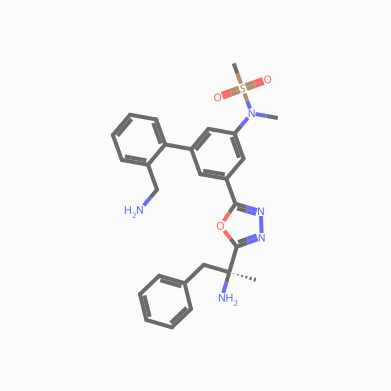 CN(c1cc(-c2nnc([C@@](C)(N)Cc3ccccc3)o2)cc(-c2ccccc2CN)c1)S(C)(=O)=O